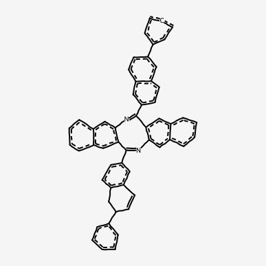 C1=CC(c2ccccc2)Cc2ccc(/C3=N/c4cc5ccccc5cc4/C(c4ccc5cc(-c6ccccc6)ccc5c4)=N\c4cc5ccccc5cc43)cc21